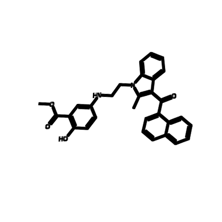 COC(=O)c1cc(NCCn2c(C)c(C(=O)c3cccc4ccccc34)c3ccccc32)ccc1O